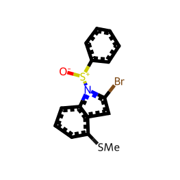 CSc1cccc2c1cc(Br)n2[S+]([O-])c1ccccc1